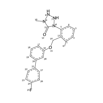 Cc1cccc(N2NNN(C)C2=O)c1COc1cccc(-c2ccc(F)cc2)c1